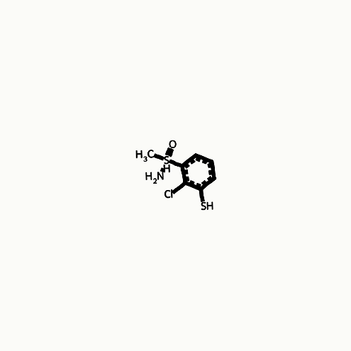 C[SH](N)(=O)c1cccc(S)c1Cl